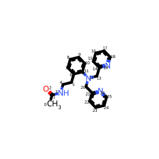 CC(=O)NCCc1ccccc1N(Cc1ccccn1)Cc1ccccn1